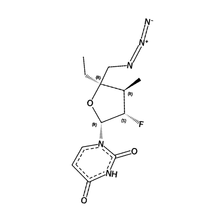 CC[C@@]1(CN=[N+]=[N-])O[C@@H](n2ccc(=O)[nH]c2=O)[C@@H](F)[C@@H]1C